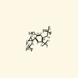 CC(C)(C)c1cc(C2(CC(F)(F)F)CC2)c(O)cc1CC(F)(F)F